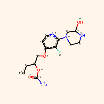 CC(C)(C)CC(COc1ccnc(N2CCNC(O)C2)c1F)OC(N)=O